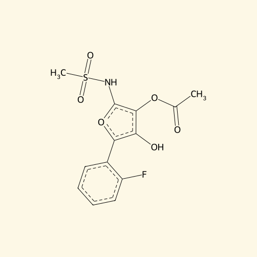 CC(=O)Oc1c(NS(C)(=O)=O)oc(-c2ccccc2F)c1O